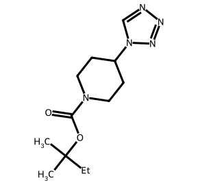 CCC(C)(C)OC(=O)N1CCC(n2cnnn2)CC1